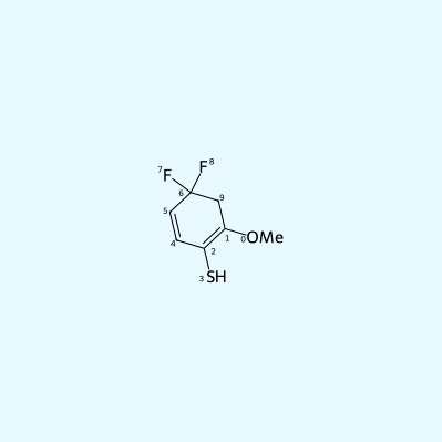 COC1=C(S)C=CC(F)(F)C1